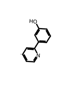 Oc1cccc(-c2c[c]ccn2)c1